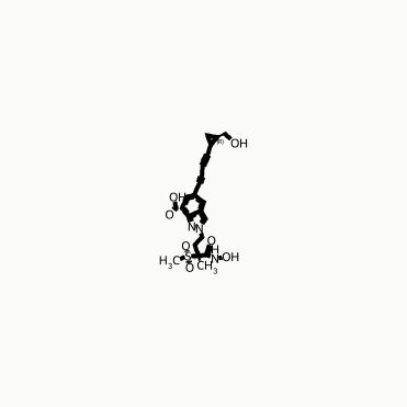 C[C@@](CCn1cc2cc(C#CC#CC3C[C@H]3CO)ccc2n1)(C(=O)NO)S(C)(=O)=O.O=CO